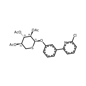 CC(=O)O[C@@H]1[C@@H](OC(C)=O)[C@@H](Oc2cccc(-c3cccc(Cl)n3)c2)SC[C@H]1OC(C)=O